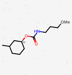 COCCCNC(=O)O[C@H]1CCCC(C)C1